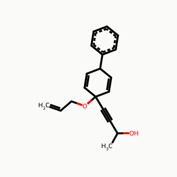 C=CCOC1(C#CC(C)O)C=CC(c2ccccc2)C=C1